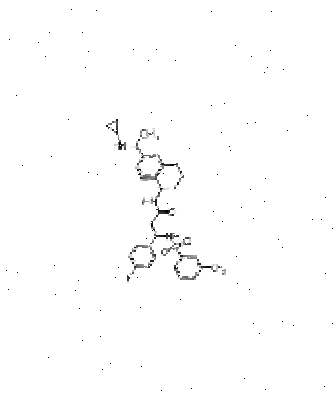 CC(NC1CC1)c1ccc2c(c1)CCC[C@H]2NC(=O)C[C@@H](NS(=O)(=O)c1cccc(C(F)(F)F)c1)c1ccc(F)cc1